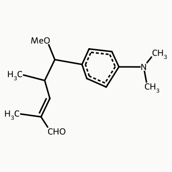 COC(c1ccc(N(C)C)cc1)C(C)C=C(C)C=O